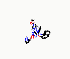 Cc1cccc2cccc(-n3c(C)nc4c(N5[C@@H](C)CN(C(=O)OC(C)(C)C)C[C@@H]5C)nc(OC[C@@H]5CCCN5C)nc4c3=O)c12